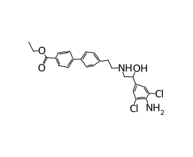 CCOC(=O)c1ccc(-c2ccc(CCNCC(O)c3cc(Cl)c(N)c(Cl)c3)cc2)cc1